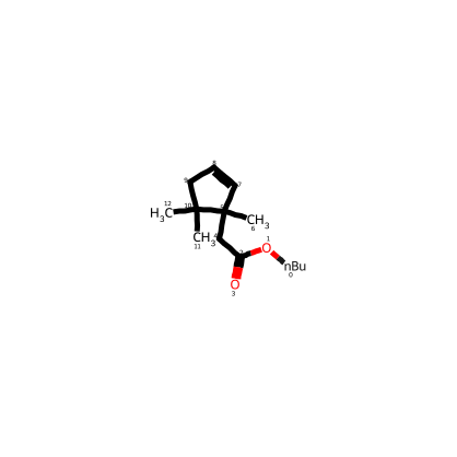 CCCCOC(=O)CC1(C)C=CCC1(C)C